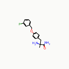 CC(N)(Cc1ccc(OCc2cccc(F)c2)cc1)C(N)=O